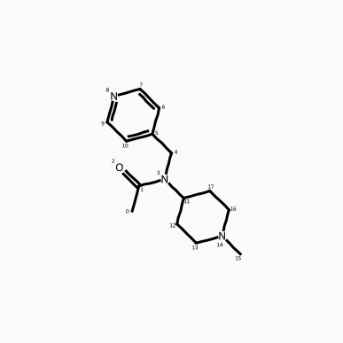 CC(=O)N(Cc1ccncc1)C1CCN(C)CC1